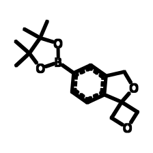 CC1(C)OB(c2ccc3c(c2)COC32COC2)OC1(C)C